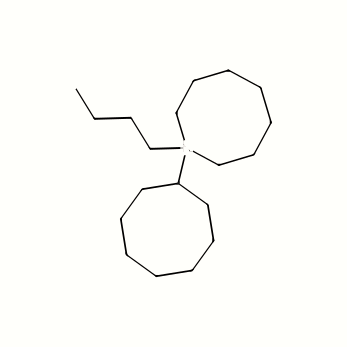 CCCC[N+]1(C2CCCCCCC2)CCCCCCC1